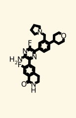 Nc1nc(F)c(-c2ccc(C3CCOCC3)c(CN3CCCC3)c2)nc1-c1cc2c(cc1F)C(=O)NCC2